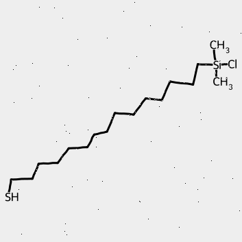 C[Si](C)(Cl)CCCCCCCCCCCCCCCS